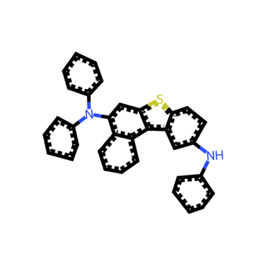 c1ccc(Nc2ccc3sc4cc(N(c5ccccc5)c5ccccc5)c5ccccc5c4c3c2)cc1